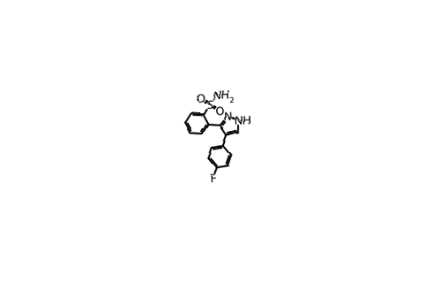 NS(=O)(=O)c1ccccc1-c1n[nH]cc1-c1ccc(F)cc1